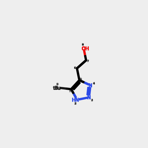 CC(C)(C)c1[nH]nnc1CCO